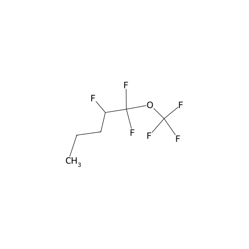 CCCC(F)C(F)(F)OC(F)(F)F